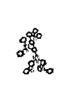 c1ccc(-c2nc(-c3ccccc3)nc(-c3cc(-c4nc(-c5ccc6c(c5)sc5ccccc56)nc(-c5cccc6c5c5ccccc5n6-c5ccccc5)n4)ccc3-c3ccc4c(c3)OC(c3ccccc3)(c3ccccc3)c3ccccc3-4)n2)cc1